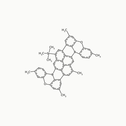 Cc1ccc2c(c1)Oc1cc(C)cc3c1B2c1cc2c([Si](C)(C)C)cc4c5c(cc6c(C)cc-3c1c6c25)B1c2ccc(C)cc2Oc2cc(C)cc-4c21